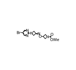 COC(=O)N1CC(ON=C2CN(c3ncc(Br)cn3)C2)C1